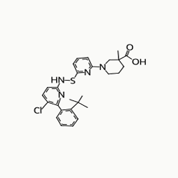 CC1(C(=O)O)CCCN(c2cccc(SNc3ccc(Cl)c(-c4ccccc4C(C)(C)C)n3)n2)C1